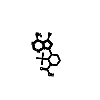 CC(C)(C)C1C(c2cc(Br)c3c(N)ncnn23)CCCN1C(=O)O